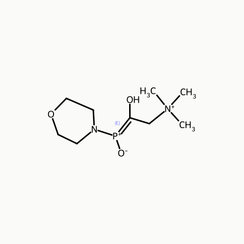 C[N+](C)(C)C/C(O)=[P+](\[O-])N1CCOCC1